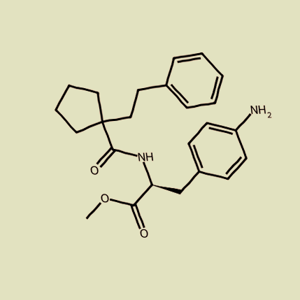 COC(=O)[C@H](Cc1ccc(N)cc1)NC(=O)C1(CCc2ccccc2)CCCC1